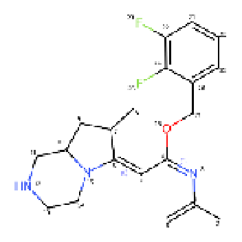 C=C(C)/N=C(\C=C1/C(C)CC2CNCCN12)OCc1cccc(F)c1F